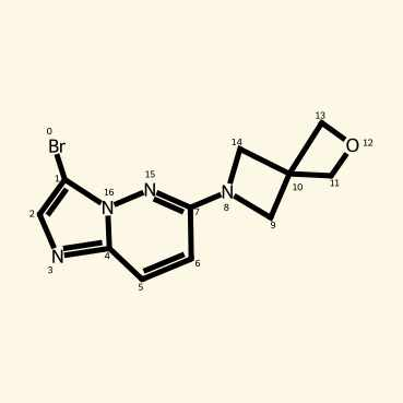 Brc1cnc2ccc(N3CC4(COC4)C3)nn12